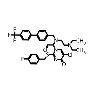 CCN(CC)CCN(Cc1ccc(-c2ccc(C(F)(F)F)cc2)cc1)C(C=O)n1cc(Cl)c(=O)nc1SCc1ccc(F)cc1